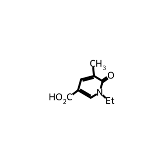 CCn1cc(C(=O)O)cc(C)c1=O